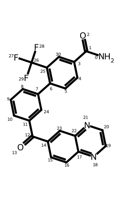 NC(=O)c1ccc(-c2cccc(C(=O)c3ccc4nccnc4c3)c2)c(C(F)(F)F)c1